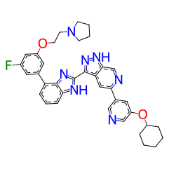 Fc1cc(OCCN2CCCC2)cc(-c2cccc3[nH]c(-c4n[nH]c5cnc(-c6cncc(OC7CCCCC7)c6)cc45)nc23)c1